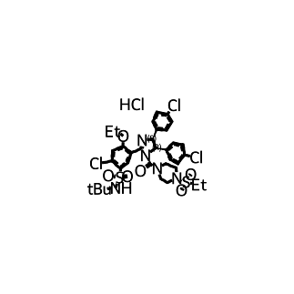 CCOc1cc(Cl)c(S(=O)(=O)NC(C)(C)C)cc1C1=N[C@@H](c2ccc(Cl)cc2)[C@@H](c2ccc(Cl)cc2)N1C(=O)N1CCN(S(=O)(=O)CC)CC1.Cl